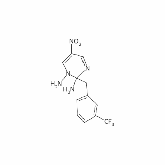 NN1C=C([N+](=O)[O-])C=NC1(N)Cc1cccc(C(F)(F)F)c1